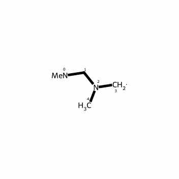 [CH2]NCN([CH2])C